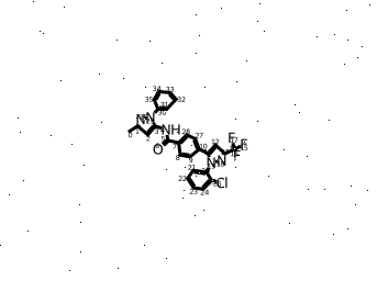 Cc1cc(NC(=O)c2ccc(-c3cc(C(F)(F)F)nn3-c3ccccc3Cl)cc2)n(-c2ccccc2)n1